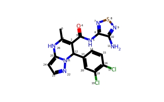 CC1=C(C(=O)Nc2nsnc2N)C(c2ccc(Cl)c(Cl)c2)n2nccc2N1